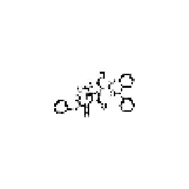 O=C(Cc1ccccc1)NC1C(=O)N2C(C(=O)OC(c3ccccc3)c3ccccc3)=C(Cl)C[S+]([O-])[C@H]12